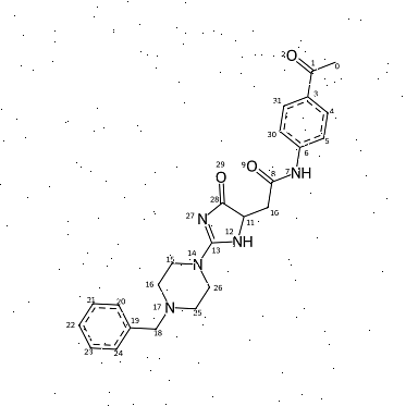 CC(=O)c1ccc(NC(=O)CC2NC(N3CCN(Cc4ccccc4)CC3)=NC2=O)cc1